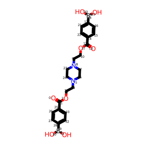 O=C(OCCN1CCN(CCOC(=O)c2ccc(B(O)O)cc2)CC1)c1ccc(B(O)O)cc1